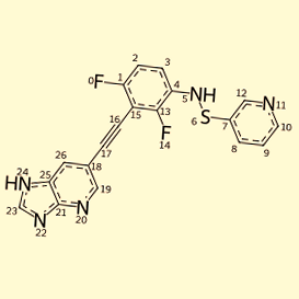 Fc1ccc(NSc2cccnc2)c(F)c1C#Cc1cnc2nc[nH]c2c1